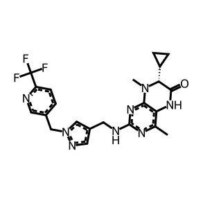 Cc1nc(NCc2cnn(Cc3ccc(C(F)(F)F)nc3)c2)nc2c1NC(=O)[C@@H](C1CC1)N2C